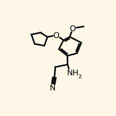 COc1ccc(C(N)CC#N)cc1OC1CCCC1